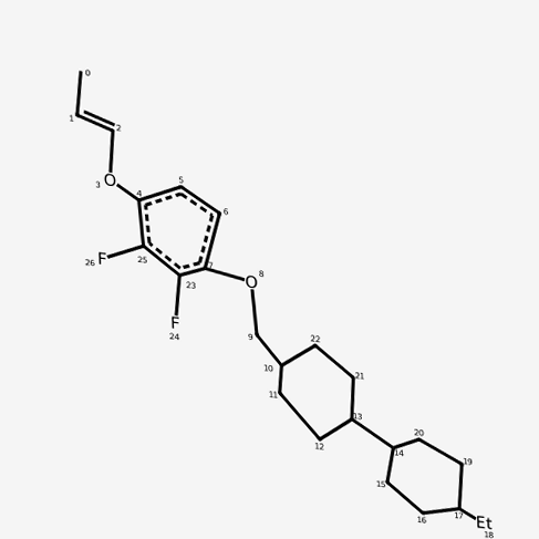 C/C=C/Oc1ccc(OCC2CCC(C3CCC(CC)CC3)CC2)c(F)c1F